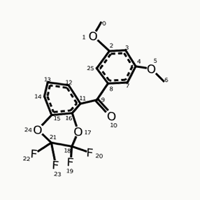 COc1cc(OC)cc(C(=O)c2cccc3c2OC(F)(F)C(F)(F)O3)c1